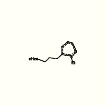 CCCCCCCCCc1cccc[n+]1CC